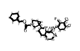 O=C(OCc1ccccc1)N1CC2CC2(c2ccc3ncnc(Nc4ccc(Cl)c(Cl)c4F)c3n2)C1